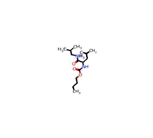 CCCCOC(=O)NC(CC(C)C)C(=O)NCC(C)C